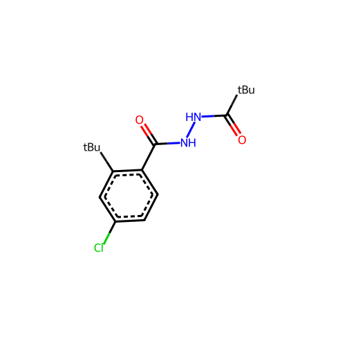 CC(C)(C)C(=O)NNC(=O)c1ccc(Cl)cc1C(C)(C)C